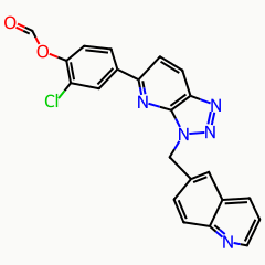 O=COc1ccc(-c2ccc3nnn(Cc4ccc5ncccc5c4)c3n2)cc1Cl